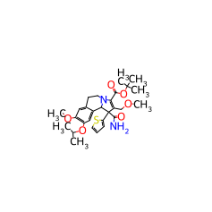 COCC1=C(C(=O)OC(C)(C)C)N2CCc3cc(OC)c(OC(C)C)cc3C2C1(C(N)=O)c1cccs1